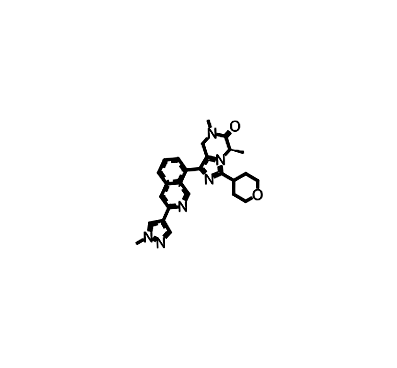 C[C@@H]1C(=O)N(C)Cc2c(-c3cccc4cc(-c5cnn(C)c5)ncc34)nc(C3CCOCC3)n21